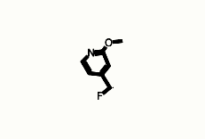 COc1cc([CH]F)ccn1